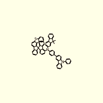 CC1(C)c2ccccc2-c2ccc(N(c3ccc(-c4ccc5c(c4)c4ccccc4n5-c4ccccc4)cc3)c3cccc4c3-c3ccccc3C43c4ccccc4-c4ccc5sc6ccccc6c5c43)cc21